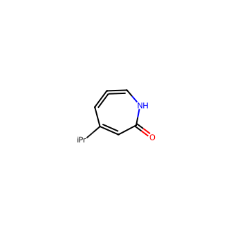 CC(C)C1=CC(=O)NC=C=C1